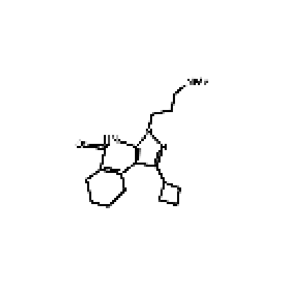 CNCCCn1nc(C2CCC2)c2c3c(c(=O)[nH]c21)CCCC3